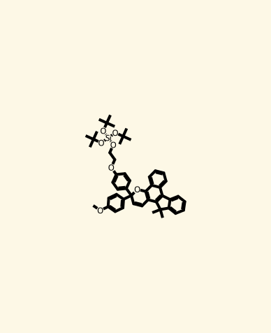 COc1ccc(C2(c3ccc(OCCO[Si](OC(C)(C)C)(OC(C)(C)C)OC(C)(C)C)cc3)C=Cc3c4c(c5ccccc5c3O2)-c2ccccc2C4(C)C)cc1